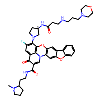 CN1CCCC1CCNC(=O)c1cn2c3c(c(N4CC[C@@H](NC(=O)CCNCCCN5CCOCC5)C4)c(F)cc3c1=O)Oc1cc3c(cc1-2)oc1ccccc13